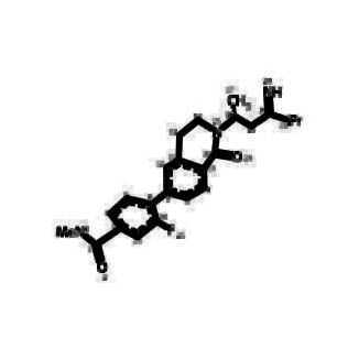 CNC(=O)c1ccc(-c2ccc3c(c2)CCN([C@H](C)CC(=N)C(C)C)C3=O)c(F)c1